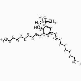 CCCCCCCCSCc1cc(CSCCCCCCCC)c(O)c(C(C)(C)C)c1